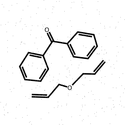 C=CCOCC=C.O=C(c1ccccc1)c1ccccc1